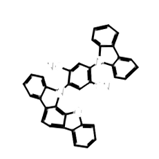 N#Cc1cc(-n2c3ccccc3c3ccc4c5ccccc5oc4c32)c(C#N)cc1-n1c2ccccc2c2ccccc21